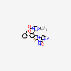 CN1CCN(C(=O)OCc2ccccc2)C(c2ccccc2Cn2c(=S)[nH]c(=O)c3[nH]ccc32)C1